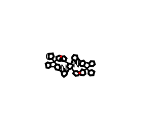 c1ccc(-c2c3c4cccc5c6cc7c(cc6n(c3c(-c3ccccc3)c3c6cccc8c9cc%10c(cc9n(c23)c86)C(c2ccccc2)(c2ccccc2)c2ccccc2-%10)c54)C(c2ccccc2)(c2ccccc2)c2ccccc2-7)cc1